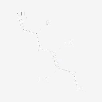 C=CC(Br)C/C(C)=C(\C)OC